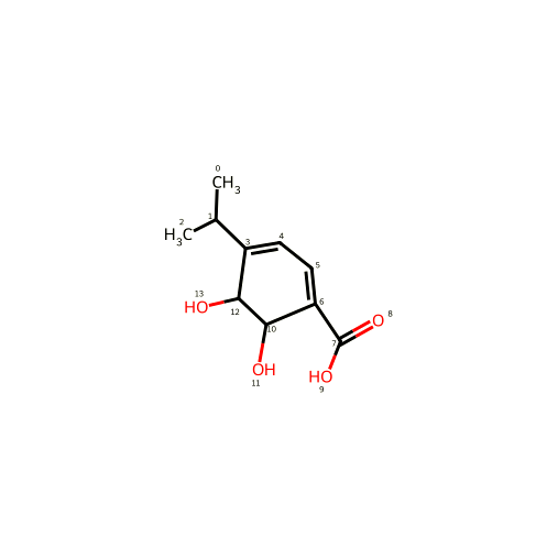 CC(C)C1=CC=C(C(=O)O)C(O)C1O